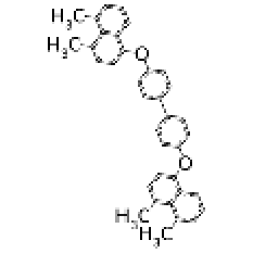 Cc1cccc2c(Oc3ccc(-c4ccc(Oc5ccc(C)c6c(C)cccc56)cc4)cc3)ccc(C)c12